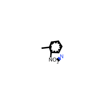 C#N.Cc1ccccc1[N+](=O)[O-]